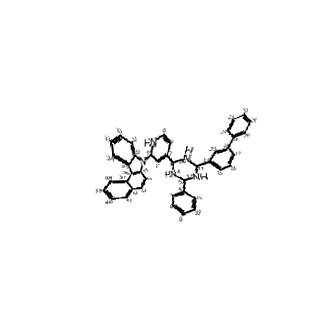 C1=CC(C2NC(c3ccccc3)NC(c3cccc(-c4ccccc4)c3)N2)=CC(n2c3ccccc3c3c4ccccc4ccc32)N1